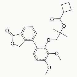 COc1ccc(-c2cccc3c2COC3=O)c(OCC(C)(C)OC(=O)C2CCC2)c1OC